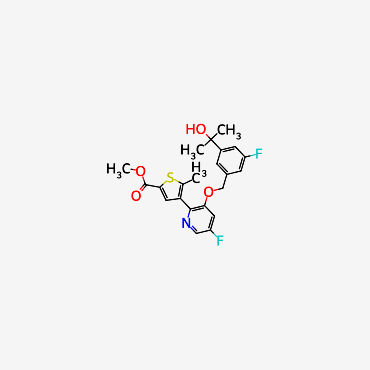 COC(=O)c1cc(-c2ncc(F)cc2OCc2cc(F)cc(C(C)(C)O)c2)c(C)s1